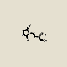 NN(C=O)CCN1C(=O)CCC1=O